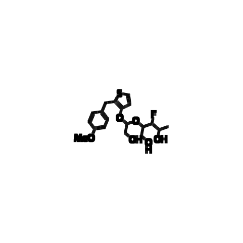 COc1ccc(Cc2sccc2OC(CO)OC(CO)C(F)C(C)O)cc1